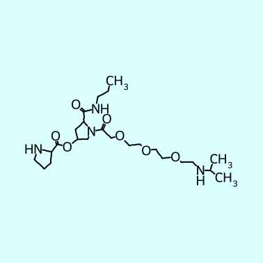 CCCNC(=O)C1CC(OC(=O)C2CCCN2)CN1C(=O)COCCOCCOCCNC(C)C